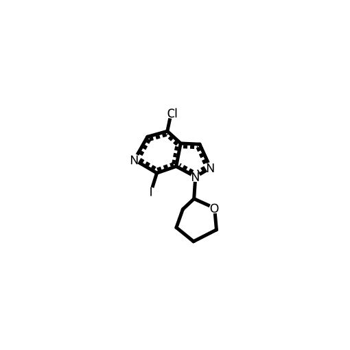 Clc1cnc(I)c2c1cnn2C1CCCCO1